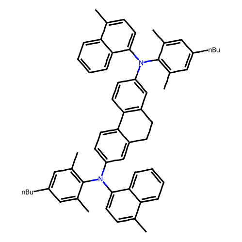 CCCCc1cc(C)c(N(c2ccc3c(c2)CCc2cc(N(c4c(C)cc(CCCC)cc4C)c4ccc(C)c5ccccc45)ccc2-3)c2ccc(C)c3ccccc23)c(C)c1